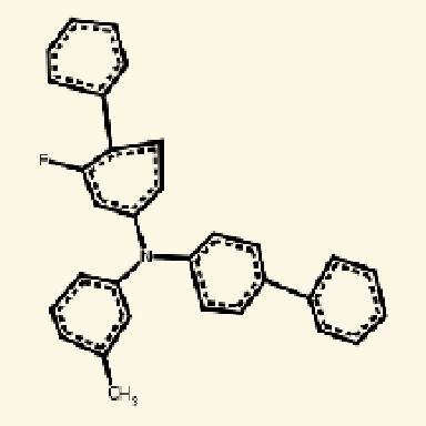 Cc1cccc(N(c2ccc(-c3ccccc3)cc2)c2ccc(-c3ccccc3)c(F)c2)c1